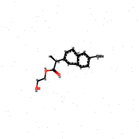 COc1ccc2cc([C@H](C)C(=O)OCCO)ccc2c1